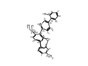 Cc1ccc2c(n1)oc1c(-c3ccc(-c4ccccc4F)cn3)c(C)ccc12